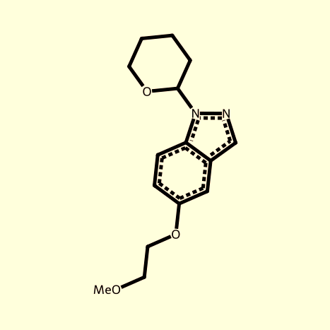 COCCOc1ccc2c(cnn2C2CCCCO2)c1